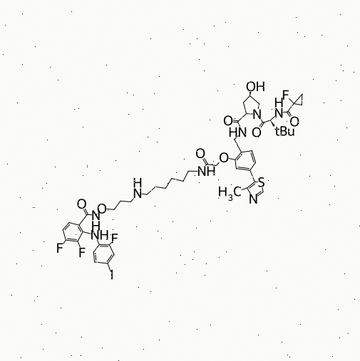 Cc1ncsc1-c1ccc(CNC(=O)C2C[C@@H](O)CN2C(=O)[C@@H](NC(=O)C2(F)CC2)C(C)(C)C)c(OCC(=O)NCCCCCCNCCCONC(=O)c2ccc(F)c(F)c2Nc2ccc(I)cc2F)c1